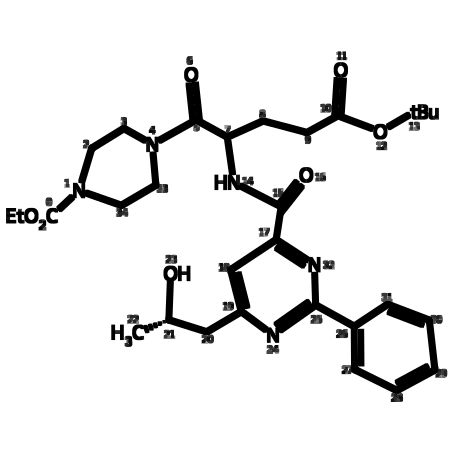 CCOC(=O)N1CCN(C(=O)C(CCC(=O)OC(C)(C)C)NC(=O)c2cc(C[C@H](C)O)nc(-c3ccccc3)n2)CC1